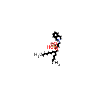 CCCCCCCC(CCCCC)COCC(CN1CCc2ccccc2C1)OS(=O)(=O)O